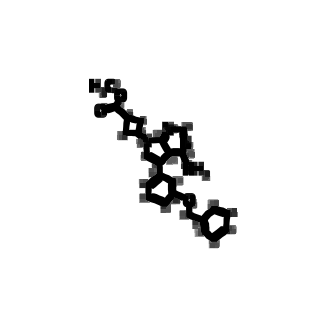 COC(=O)C1CC(n2cc(-c3cccc(OCc4ccccc4)c3)c3c(N)ncnc32)C1